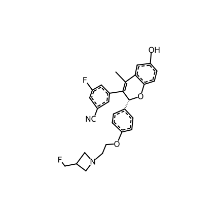 CC1=C(c2cc(F)cc(C#N)c2)[C@@H](c2ccc(OCCN3CC(CF)C3)cc2)Oc2ccc(O)cc21